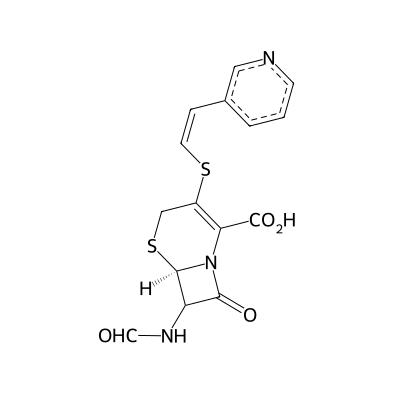 O=CNC1C(=O)N2C(C(=O)O)=C(S/C=C\c3cccnc3)CS[C@H]12